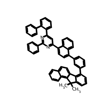 CC1(C)c2cccc(-c3cccc(-c4ccc(-c5cc(-c6ccccc6-c6ccccc6)nc(-c6ccccc6)n5)c5ccccc45)c3)c2-c2ccc3ccccc3c21